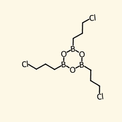 ClCCCB1OB(CCCCl)OB(CCCCl)O1